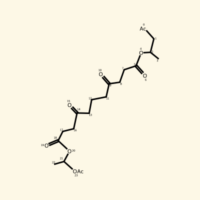 CC(=O)CC(C)OC(=O)CCC(=O)CCCC(=O)CCC(=O)OC(C)OC(C)=O